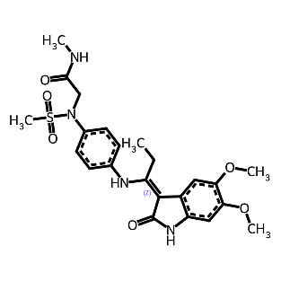 CC/C(Nc1ccc(N(CC(=O)NC)S(C)(=O)=O)cc1)=C1/C(=O)Nc2cc(OC)c(OC)cc21